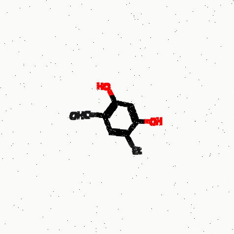 CCc1cc(C=O)c(O)cc1O